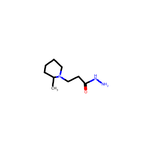 CC1CCCCN1CCC(=O)NN